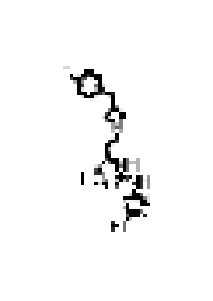 CCc1nnc(NC(=O)N[C@H](CO)CCN2CC(Cc3ccc(F)cc3)C2)s1